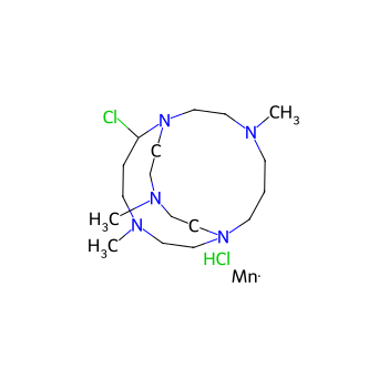 CN1CCC(Cl)N2CCN(C)CCCN(CC1)CCN(C)CC2.Cl.[Mn]